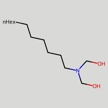 CCCCCCCCCCCCN(CO)CO